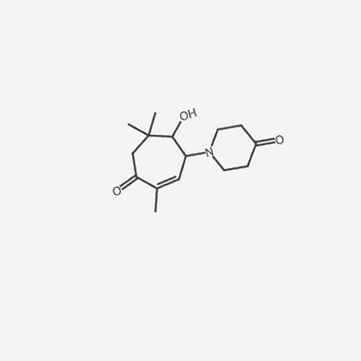 CC1=CC(N2CCC(=O)CC2)C(O)C(C)(C)CC1=O